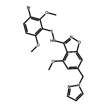 COc1ccc(Br)c(OC)c1SNc1noc2cc(Cn3cccn3)cc(OC)c12